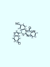 N#Cc1ccc(-n2c(SCc3csc4ccc(Cl)cc34)nc3cccnc3c2=O)cc1